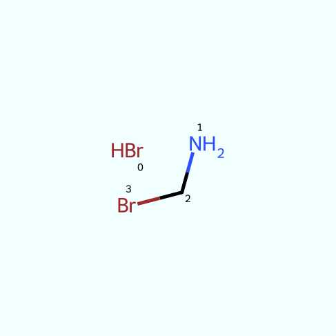 Br.NCBr